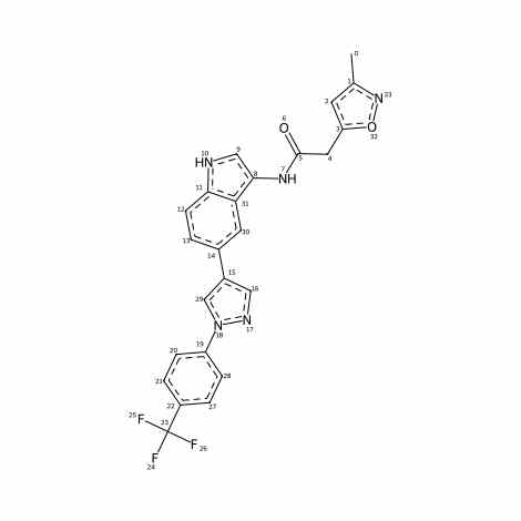 Cc1cc(CC(=O)Nc2c[nH]c3ccc(-c4cnn(-c5ccc(C(F)(F)F)cc5)c4)cc23)on1